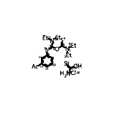 CCN(CC)C(=S)OC(=Nc1cccc(C(C)=O)c1)N(CC)CC.Cl.NC(O)=S